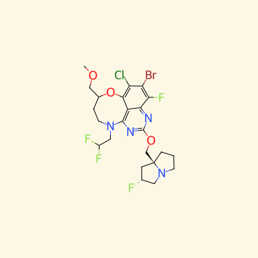 COCC1CCN(CC(F)F)c2nc(OC[C@@]34CCCN3C[C@H](F)C4)nc3c(F)c(Br)c(Cl)c(c23)O1